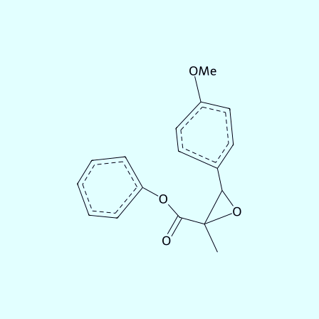 COc1ccc(C2OC2(C)C(=O)Oc2ccccc2)cc1